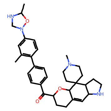 Cc1cc(N2CNC(C)O2)ccc1-c1ccc(C(=O)C2CCC3=CC4NCCC4C4(CCN(C)CC4)C3O2)cc1